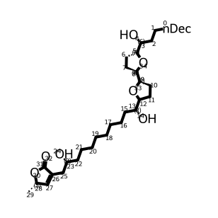 CCCCCCCCCCCC[C@H](O)[C@H]1CC[C@H]([C@H]2CCC([C@H](O)CCCCCCCC[C@@H](O)CC3=C[C@H](C)OC3=O)O2)O1